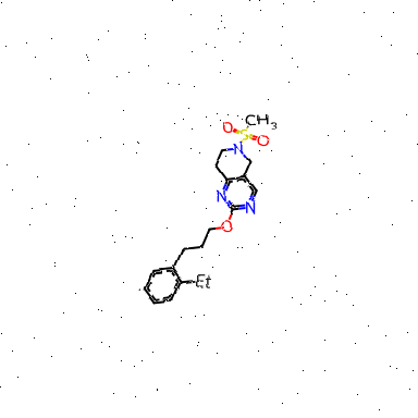 CCc1cc[c]cc1CCCOc1ncc2c(n1)CCN(S(C)(=O)=O)C2